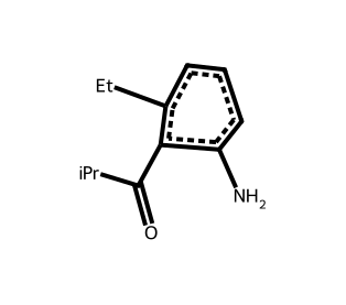 CCc1cccc(N)c1C(=O)C(C)C